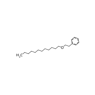 [CH2]CCCCCCCCCCCOCCc1ccccc1